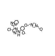 COCCN1CCN(CCOc2ccc(Nc3ncc(Cl)c(-c4cnc5ccccn45)n3)c(OC)c2)CC1